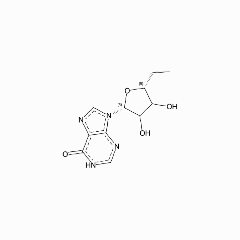 CC[C@H]1O[C@@H](n2cnc3c(=O)[nH]cnc32)C(O)C1O